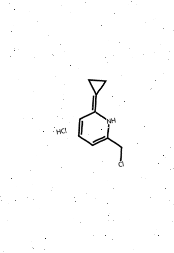 Cl.ClCC1=CC=CC(=C2CC2)N1